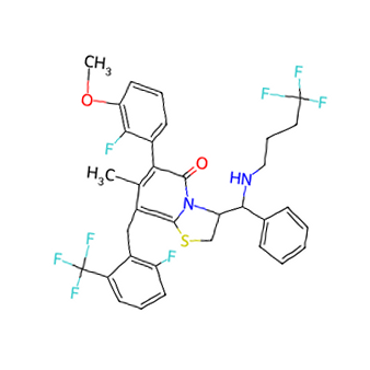 COc1cccc(-c2c(C)c(Cc3c(F)cccc3C(F)(F)F)c3n(c2=O)C(C(NCCCC(F)(F)F)c2ccccc2)CS3)c1F